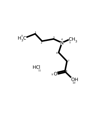 CCCCN(C)CCC(=O)O.Cl